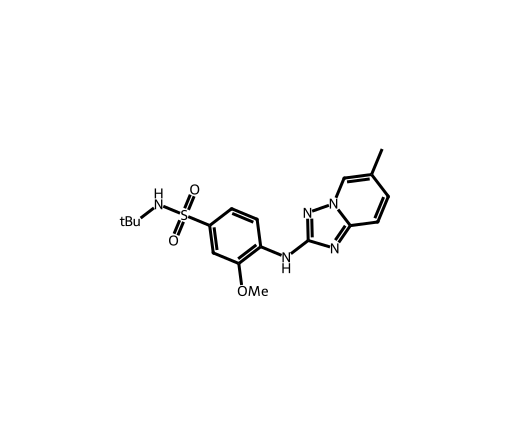 COc1cc(S(=O)(=O)NC(C)(C)C)ccc1Nc1nc2ccc(C)cn2n1